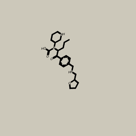 CCCC(C(=O)c1ccc(CNCC2CCCO2)cc1)N(C(=O)O)C1CCCNC1